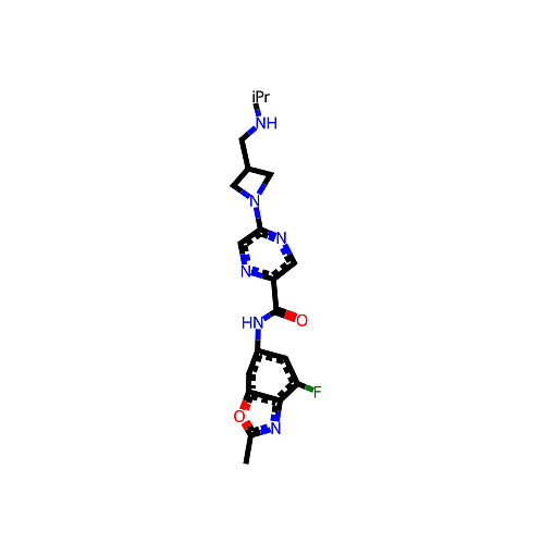 Cc1nc2c(F)cc(NC(=O)c3cnc(N4CC(CNC(C)C)C4)cn3)cc2o1